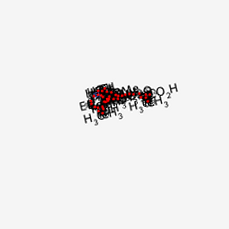 CC[C@H]1OC(=O)[C@H](C)[C@@H](O[C@H]2C[C@@](C)(OC)[C@@H](OC(=O)NCCOCCSc3ccc4c(c3)c(=O)c(C(=O)O)cn4N(C)C)[C@H](C)O2)[C@H](C)[C@H]2O[C@@H]3O[C@H](CCN(CC)CCO/N=C(\[C@H](C)C[C@@]2(C)O)[C@@H](O)[C@]1(C)O)C[C@H](N(C)C)[C@H]3O